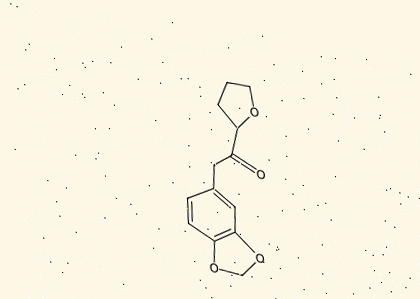 O=C(Cc1ccc2c(c1)OCO2)C1CCCO1